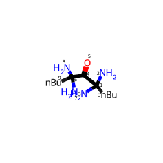 CCCCC(N)(N)C(=O)C(N)(N)CCCC